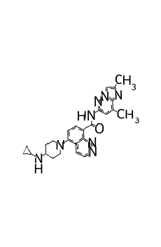 Cc1cn2nc(NC(=O)c3ccc(N4CCC(NC5CC5)CC4)c4ccnnc34)cc(C)c2n1